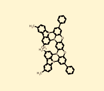 Cc1ccc2c(c1)c1cc(C)cc3c1n2-c1cc(-c2ccccc2)cc2c1B3c1cc3c(cc1O2)Oc1cc(-c2ccccc2)cc2c1B3c1cc(C)cc3c4cc(C)ccc4n-2c13